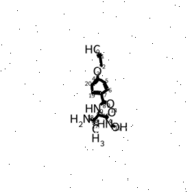 C#CCOc1ccc(C(=O)N[C@H](C(=O)NO)[C@@H](C)N)cc1